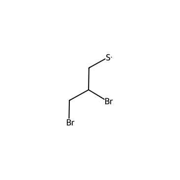 [S]CC(Br)CBr